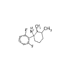 C=C1C(C)CCCC1(N)c1c(F)cccc1F